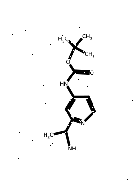 CC(N)c1cc(NC(=O)OC(C)(C)C)ccn1